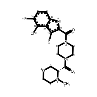 CN1CCOC[C@@H]1C(=O)N1CCN(C(=O)c2[nH]c3ccc(F)c(Cl)c3c2F)CC1